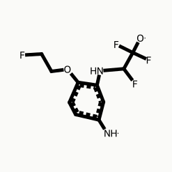 [NH]c1ccc(OCCF)c(NC(F)C([O])(F)F)c1